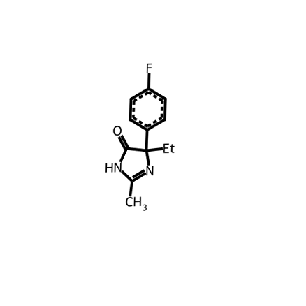 CCC1(c2ccc(F)cc2)N=C(C)NC1=O